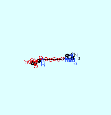 CN1Cc2ccccc2/C(N(N)CCOCCOCCOCCOCCOCCNC(=O)c2ccc(-c3cc(=O)c4ccc(O)c(O)c4o3)cc2)=C(/N)c2ccccc21